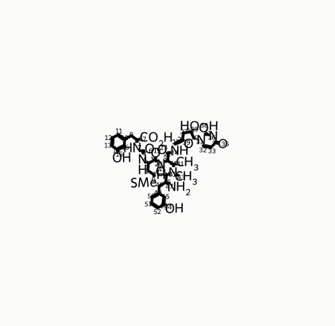 CSCCC(NC(=O)NC(Cc1cccc(O)c1)C(=O)O)C(=O)NC(C(=O)N/C=C1/C[C@@H](O)[C@H](n2ccc(=O)[nH]c2=O)O1)C(C)N(C)C(=O)C(N)Cc1cccc(O)c1